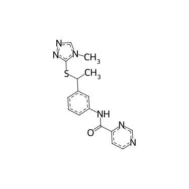 CC(Sc1nncn1C)c1cccc(NC(=O)c2ccncn2)c1